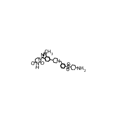 Cn1nc(N2CCC(=O)NC2=O)c2ccc(C3CCN(Cc4cccc(S(=O)(=O)C5CCC(N)CC5)c4)CC3)cc21